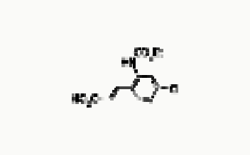 CCOC(=O)Nc1cc(Cl)ccc1C=CC(=O)O